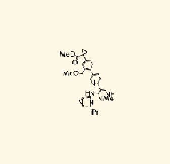 CN/C(Nc1cncc(C(C)C)n1)=C(\C=N)c1ccc(-c2ccc(C3(C(=O)OC)CC3)cc2COC)cn1